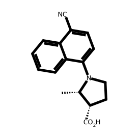 C[C@H]1[C@@H](C(=O)O)CCN1c1ccc(C#N)c2ccccc12